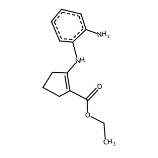 CCOC(=O)C1=C(Nc2ccccc2N)CCC1